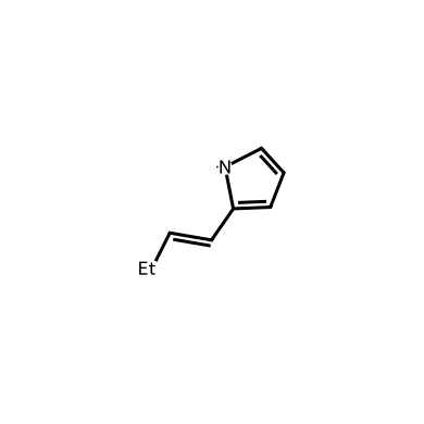 CCC=CC1=CC=C[N]1